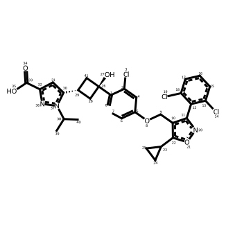 C=C(/C(Cl)=C\C(=C/C)OCc1c(-c2c(Cl)cccc2Cl)noc1C1CC1)[C@]1(O)C[C@H](c2cc(C(=O)O)nn2C(C)C)C1